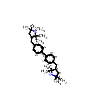 CN1C(C)(C)CC(Cc2ccc(-c3ccc(CC4CC(C)(C)NC4(C)C)cc3)cc2)C1(C)C